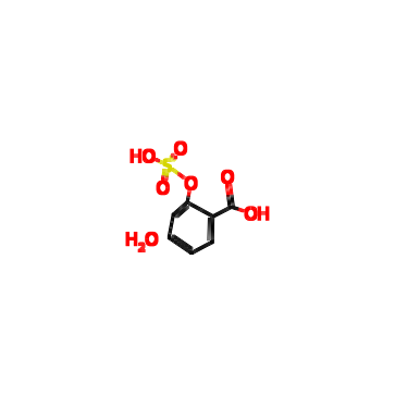 O.O=C(O)c1ccccc1OS(=O)(=O)O